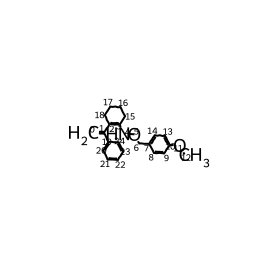 C=C(C1=C(NOCc2ccc(OC)cc2)CCCC1)c1ccccc1